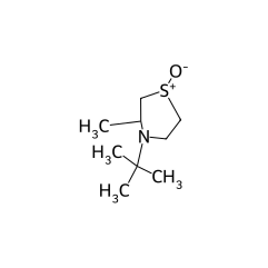 CC1C[S+]([O-])CCN1C(C)(C)C